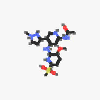 COc1ccc(S(C)(=O)=O)nc1Nc1cc(NC(C)=O)ncc1-c1ccn(C)n1